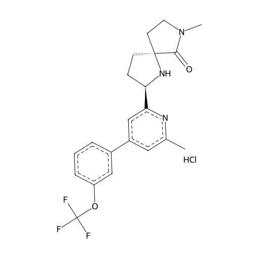 Cc1cc(-c2cccc(OC(F)(F)F)c2)cc([C@H]2CC[C@@]3(CCN(C)C3=O)N2)n1.Cl